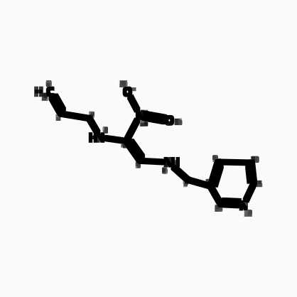 C=CCNC(=CNCc1cccnc1)[N+](=O)[O-]